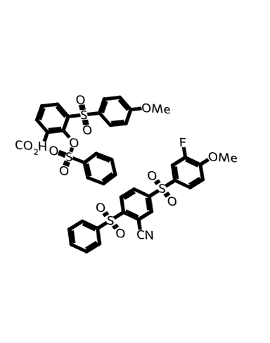 COc1ccc(S(=O)(=O)c2ccc(S(=O)(=O)c3ccccc3)c(C#N)c2)cc1F.COc1ccc(S(=O)(=O)c2cccc(C(=O)O)c2OS(=O)(=O)c2ccccc2)cc1